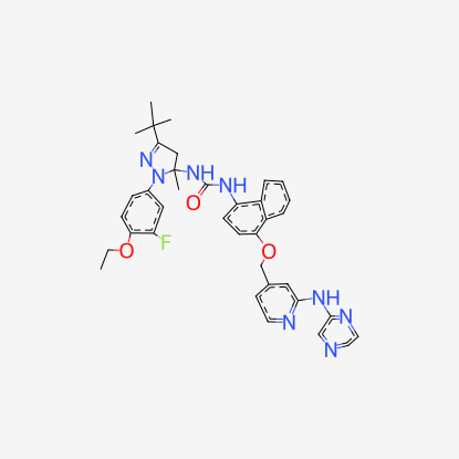 CCOc1ccc(N2N=C(C(C)(C)C)CC2(C)NC(=O)Nc2ccc(OCc3ccnc(Nc4cnccn4)c3)c3ccccc23)cc1F